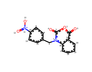 O=c1oc(=O)n(Cc2ccc([N+](=O)[O-])cc2)c2ccccc12